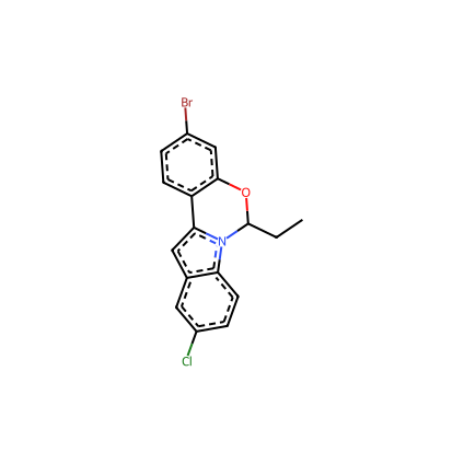 CCC1Oc2cc(Br)ccc2-c2cc3cc(Cl)ccc3n21